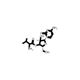 CC(C)C(N)C(=O)OC1[C@@H](CO)O[C@@H](n2ccc(N)nc2=O)[C@]1(C)O